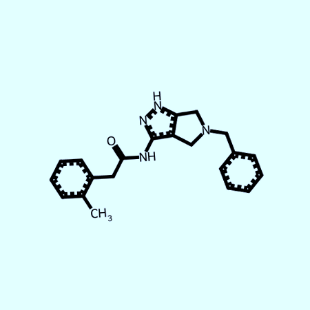 Cc1ccccc1CC(=O)Nc1n[nH]c2c1CN(Cc1ccccc1)C2